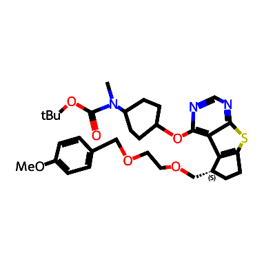 COc1ccc(COCCOC[C@H]2CCc3sc4ncnc(OC5CCC(N(C)C(=O)OC(C)(C)C)CC5)c4c32)cc1